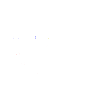 O=C(O)CC1C(=O)NC=CN1S(=O)(=O)c1ccc(Cl)cc1